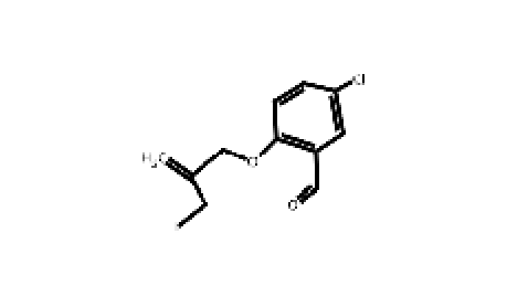 C=C(CI)COc1ccc(Cl)cc1C=O